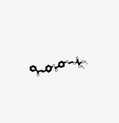 C=C(C)C(=O)OCCOc1ccc(C(=O)Oc2ccc(C=CC(=O)c3ccccc3)cc2)cc1